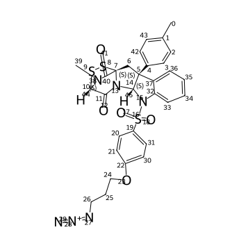 Cc1ccc([C@]23C[C@@]45SS[C@@H](C(=O)N4[C@H]2N(S(=O)(=O)c2ccc(OCCCN=[N+]=[N-])cc2)c2ccccc23)N(C)C5=O)cc1